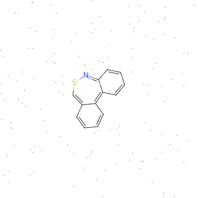 C1=c2ccccc2=c2ccccc2=NS1